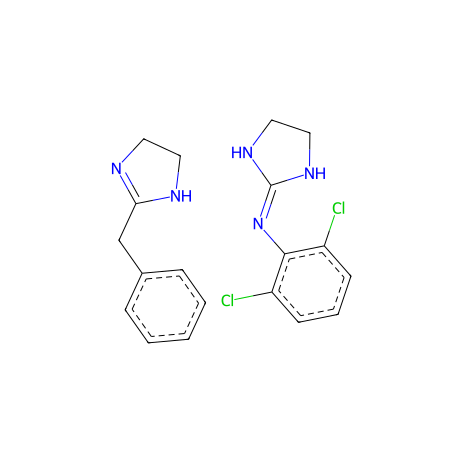 Clc1cccc(Cl)c1N=C1NCCN1.c1ccc(CC2=NCCN2)cc1